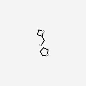 C1CCOC1.ClCC1CCO1